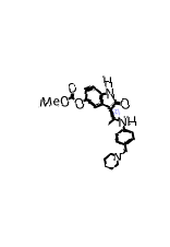 COC(=O)Oc1ccc2c(c1)/C(=C(\C)Nc1ccc(CN3CCCCC3)cc1)C(=O)N2